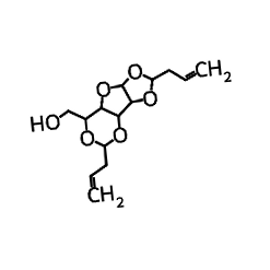 C=CCC1OC2OC3C(CO)OC(CC=C)OC3C2O1